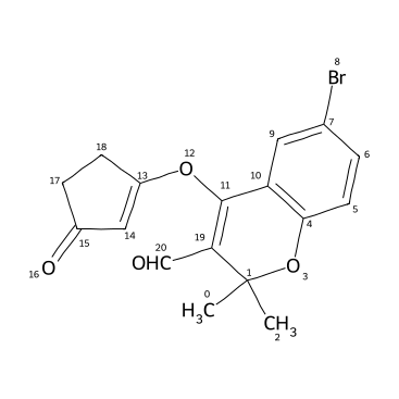 CC1(C)Oc2ccc(Br)cc2C(OC2=CC(=O)CC2)=C1C=O